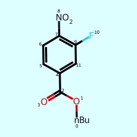 CCCCOC(=O)c1ccc([N+](=O)[O-])c(F)c1